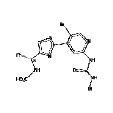 CCNC(=O)Nc1cc(-c2nc([C@H](NC(=O)O)C(C)C)cs2)c(Br)cn1